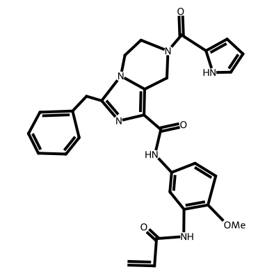 C=CC(=O)Nc1cc(NC(=O)c2nc(Cc3ccccc3)n3c2CN(C(=O)c2ccc[nH]2)CC3)ccc1OC